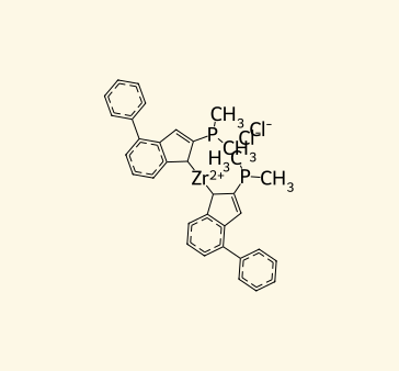 CP(C)C1=Cc2c(-c3ccccc3)cccc2[CH]1[Zr+2][CH]1C(P(C)C)=Cc2c(-c3ccccc3)cccc21.[Cl-].[Cl-]